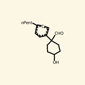 CCCCCc1ccc(C2(C=O)CCC(O)CC2)cc1